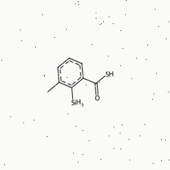 Cc1cccc(C(=O)S)c1[SiH3]